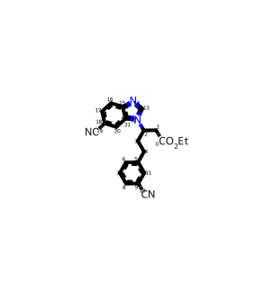 CCOC(=O)CC(CCc1cccc(C#N)c1)n1cnc2ccc(C#N)cc21